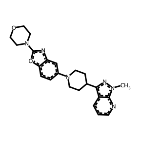 Cn1nc(C2CCN(c3ccc4oc(N5CCOCC5)nc4c3)CC2)c2cccnc21